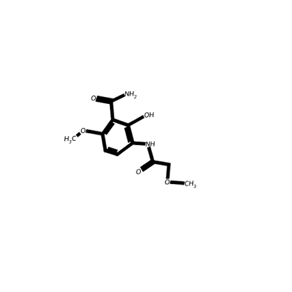 COCC(=O)Nc1ccc(OC)c(C(N)=O)c1O